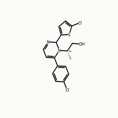 C[C@@H](CO)N1C(c2ccc(Cl)cc2)=CC=NC1c1ccc(Cl)s1